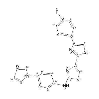 Fc1ccc(-c2csc(-c3csc(Nc4ccc(-n5ccnc5)cc4)n3)n2)cc1